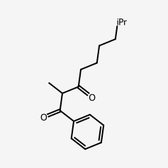 CC(C)CCCCC(=O)C(C)C(=O)c1ccccc1